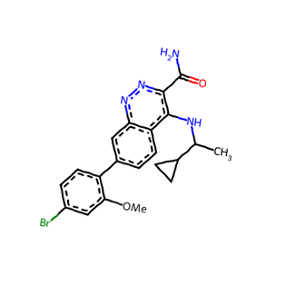 COc1cc(Br)ccc1-c1ccc2c(NC(C)C3CC3)c(C(N)=O)nnc2c1